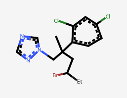 CCC(Br)CC(C)(Cn1cncn1)c1ccc(Cl)cc1Cl